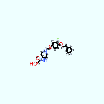 O=C(CO)NC1CCN(CCOc2ccc(OCCc3ccccc3)c(F)c2)CC1